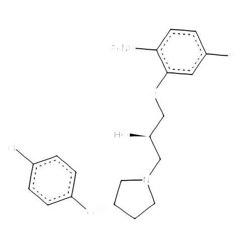 CC(=O)Nc1ccc(F)cc1OC[C@H](O)CN1CC[C@H](Oc2ccc(Cl)cc2)C1